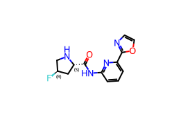 O=C(Nc1cccc(-c2ncco2)n1)[C@@H]1C[C@@H](F)CN1